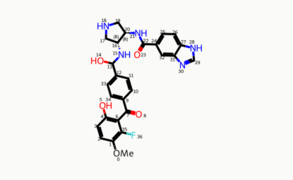 COc1ccc(O)c(C(=O)c2ccc(C(O)N[C@@H]3CNC[C@H]3NC(=O)c3ccc4[nH]cnc4c3)cc2)c1F